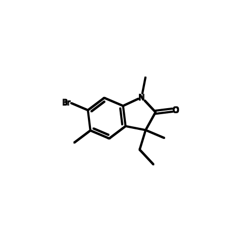 CCC1(C)C(=O)N(C)c2cc(Br)c(C)cc21